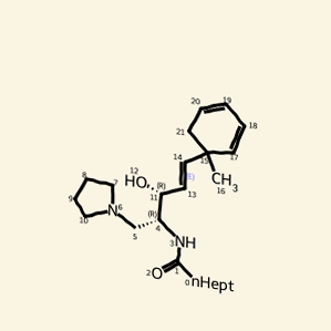 CCCCCCCC(=O)N[C@H](CN1CCCC1)[C@H](O)/C=C/C1(C)C=CC=CC1